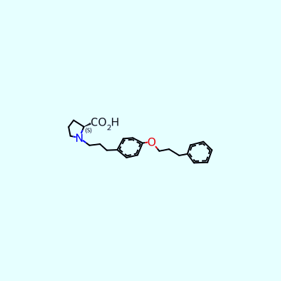 O=C(O)[C@@H]1CCCN1CCCc1ccc(OCCCc2ccccc2)cc1